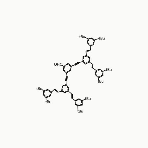 CC(C)(C)c1cc(C=Cc2cc(C#Cc3cc(C#Cc4cc(C=Cc5cc(C(C)(C)C)cc(C(C)(C)C)c5)cc(C=Cc5cc(C(C)(C)C)cc(C(C)(C)C)c5)c4)cc(C=O)c3)cc(C=Cc3cc(C(C)(C)C)cc(C(C)(C)C)c3)c2)cc(C(C)(C)C)c1